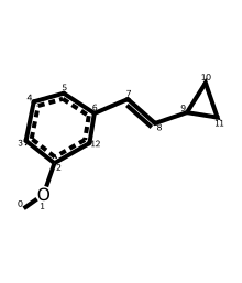 COc1[c]ccc(C=CC2CC2)c1